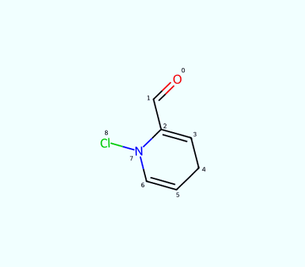 O=CC1=CCC=CN1Cl